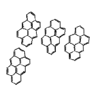 c1cc2ccc3cc4cccc5ccc6cc(c1)c2c3c6c54.c1cc2ccc3cc4cccc5ccc6cc(c1)c2c3c6c54.c1cc2ccc3cc4cccc5ccc6cc(c1)c2c3c6c54.c1cc2ccc3cc4cccc5ccc6cc(c1)c2c3c6c54